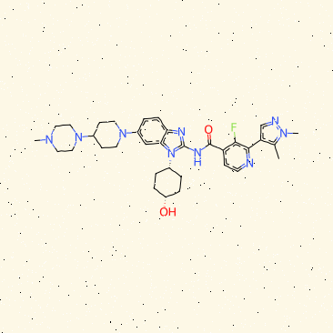 Cc1c(-c2nccc(C(=O)Nc3nc4ccc(N5CCC(N6CCN(C)CC6)CC5)cc4n3[C@H]3CC[C@@H](O)CC3)c2F)cnn1C